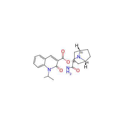 CC(C)n1c(=O)c(C(=O)O[C@H]2C[C@H]3CC[C@@H](C2)N3CC(N)=O)cc2ccccc21